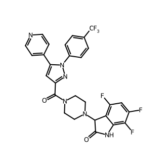 O=C1Nc2c(F)c(F)cc(F)c2C1N1CCN(C(=O)c2cc(-c3ccncc3)n(-c3ccc(C(F)(F)F)cc3)n2)CC1